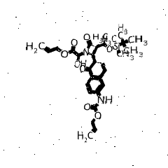 C=CCOC(=O)Nc1ccc2c(c1)CC[C@@H]([C@@H]1[C@@H]([C@@H](C)O[Si](C)(C)C(C)(C)C)C(=O)N1C(O)C(=O)OCC=C)C2=O